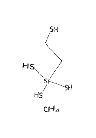 C.SCC[Si](S)(S)S